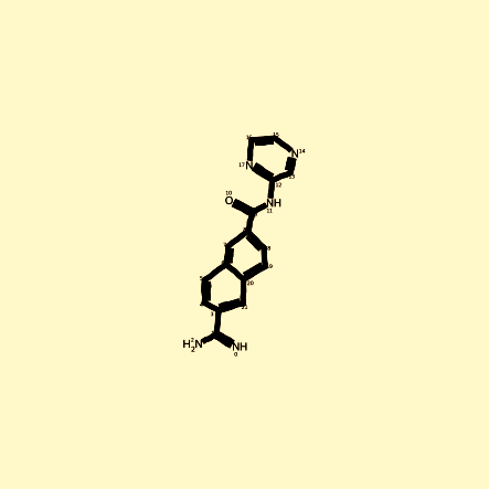 N=C(N)c1ccc2cc(C(=O)Nc3cnccn3)ccc2c1